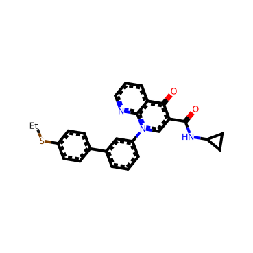 CCSc1ccc(-c2cccc(-n3cc(C(=O)NC4CC4)c(=O)c4cccnc43)c2)cc1